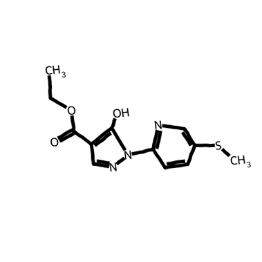 CCOC(=O)c1cnn(-c2ccc(SC)cn2)c1O